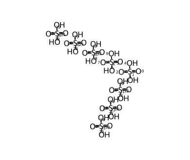 O=S(=O)(O)O.O=S(=O)(O)O.O=S(=O)(O)O.O=S(=O)(O)O.O=S(=O)(O)O.O=S(=O)(O)O.O=S(=O)(O)O.O=S(=O)(O)O